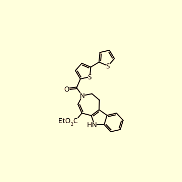 CCOC(=O)C1=CN(C(=O)c2ccc(-c3cccs3)s2)CCc2c1[nH]c1ccccc21